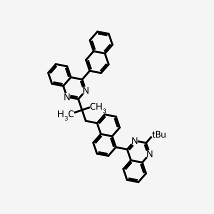 CC(C)(C)c1nc(-c2cccc3c(CC(C)(C)c4nc(-c5ccc6ccccc6c5)c5ccccc5n4)cccc23)c2ccccc2n1